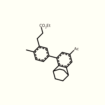 CCOC(=O)CCc1cc(-c2cc(C(C)=O)cc3c2C2CCC3CC2)ccc1C